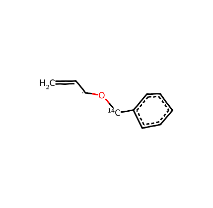 C=C[CH]O[14CH2]c1ccccc1